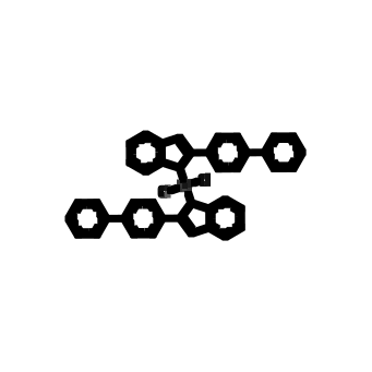 [Cl][Hf]([Cl])([CH]1C(c2ccc(-c3ccccc3)cc2)=Cc2ccccc21)[CH]1C(c2ccc(-c3ccccc3)cc2)=Cc2ccccc21